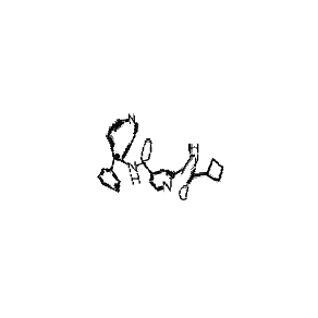 O=C(Nc1cnccc1-c1ccccc1)c1ccnc(NC(=O)C2CCC2)c1